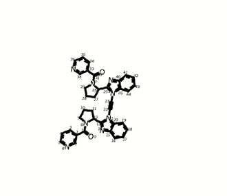 O=C(c1cccnc1)N1CCCC1c1nc2ccccc2n1C#Cn1c(C2CCCN2C(=O)c2cccnc2)nc2ccccc21